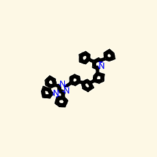 c1ccc(-c2cc(-c3ccccc3)nc(-c3cccc(-c4cccc(-c5cccc(-c6nc(-c7ccccc7)c7c(n6)c6ccccc6n7-c6ccccc6)c5)c4)c3)c2)cc1